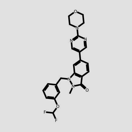 Cn1c(=O)c2ccc(-c3cnc(N4CCOCC4)nc3)cc2n1Cc1cccc(OC(F)F)c1